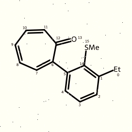 CCc1cccc(-c2cccccc2=O)c1SC